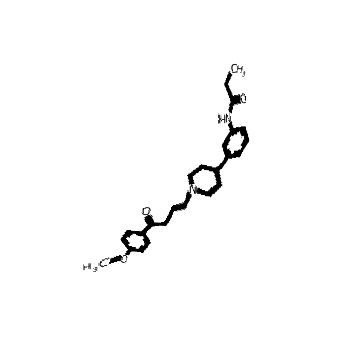 CCC(=O)Nc1cccc(C2CCN(CCCC(=O)c3ccc(OC)cc3)CC2)c1